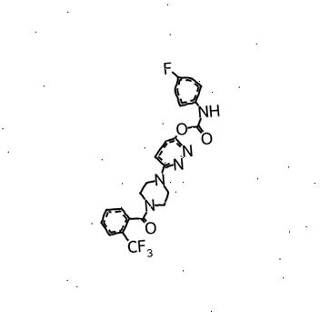 O=C(Nc1ccc(F)cc1)Oc1ccc(N2CCN(C(=O)c3ccccc3C(F)(F)F)CC2)nn1